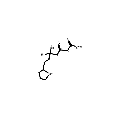 COC(=O)CC(=O)CC(O)(CCC1CCCO1)C(C)C